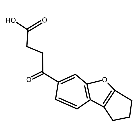 O=C(O)CCC(=O)c1ccc2c3c(oc2c1)CCC3